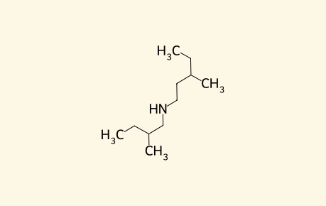 CCC(C)CCNCC(C)CC